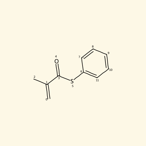 C=C(C)C(=O)Sc1[c]cccc1